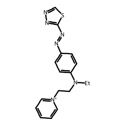 CCN(CC[n+]1ccccc1)c1ccc(N=Nc2nncs2)cc1